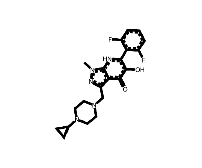 Cn1nc(CN2CCN(C3CC3)CC2)c2c(=O)c(O)c(-c3c(F)cccc3F)[nH]c21